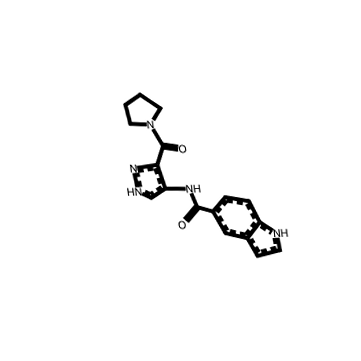 O=C(Nc1c[nH]nc1C(=O)N1CCCC1)c1ccc2[nH]ccc2c1